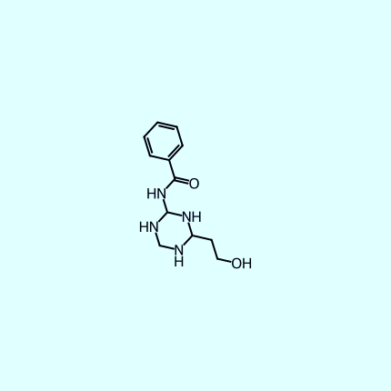 O=C(NC1NCNC(CCO)N1)c1ccccc1